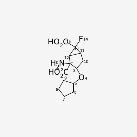 NC1(C(=O)O)C(OC2CCCC2)CC2C1C2(F)C(=O)O